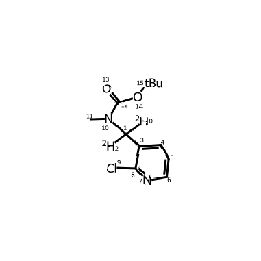 [2H]C([2H])(c1cccnc1Cl)N(C)C(=O)OC(C)(C)C